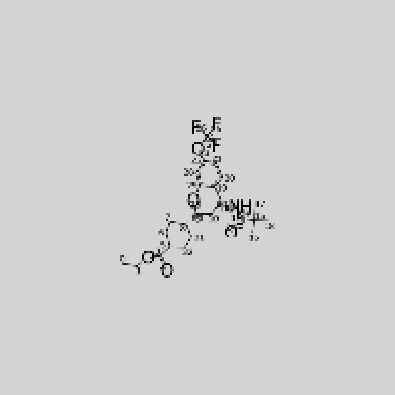 CCOC(=O)C1CCC([C@H]2C[C@@H](N[S@@+]([O-])C(C)(C)C)c3ccc(OC(F)(F)F)cc3O2)CC1